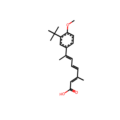 COc1ccc(C(C)=CC=CC(C)=CC(=O)O)cc1C(C)(C)C